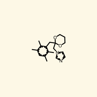 Cc1cc(C)c(C)c(CC2(Cn3ccnc3)OCCCO2)c1C